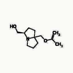 C=C(C)OCC12CCCN1[C@@H](CO)CC2